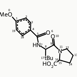 COc1ccc(C(=O)NC(C(=O)N2CCCC2C(=O)O)C(C)(C)C)cc1